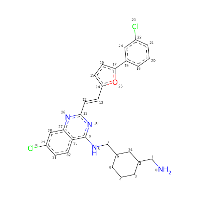 NCC1CCCC(CNc2nc(C=Cc3ccc(-c4cccc(Cl)c4)o3)nc3cc(Cl)ccc23)C1